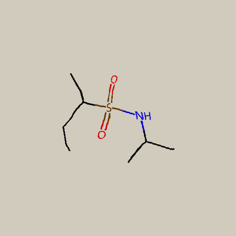 CCC(C)S(=O)(=O)NC(C)C